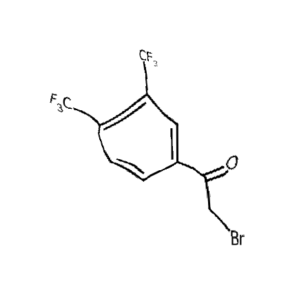 O=C(CBr)c1ccc(C(F)(F)F)c(C(F)(F)F)c1